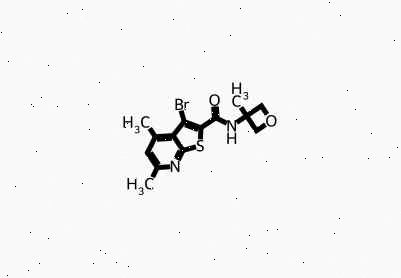 Cc1cc(C)c2c(Br)c(C(=O)NC3(C)COC3)sc2n1